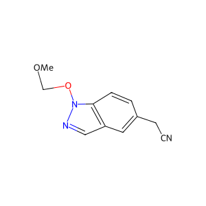 COCOn1ncc2cc(CC#N)ccc21